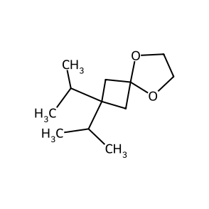 CC(C)C1(C(C)C)CC2(C1)OCCO2